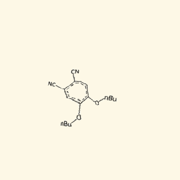 CCCCOc1cc(C#N)c(C#N)cc1OCCCC